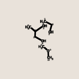 CC(O)CO.CCO.COC